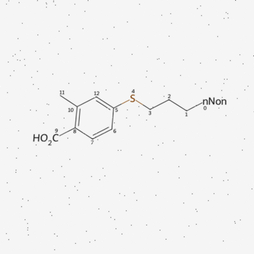 CCCCCCCCCCCCSc1ccc(C(=O)O)c(C)c1